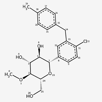 CO[C@H]1[C@H](O)[C@@H](O)[C@H](c2ccc(Cl)c(Cc3ccc(C)cc3)c2)O[C@@H]1CO